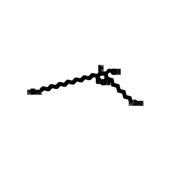 CCCCCCCCCCCCCCCCCCCCCCCC(=O)N[C@@H](CO)[C@H](O)CCCCCCCCCCCCCCCCC